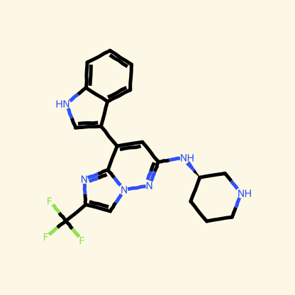 FC(F)(F)c1cn2nc(N[C@@H]3CCCNC3)cc(-c3c[nH]c4ccccc34)c2n1